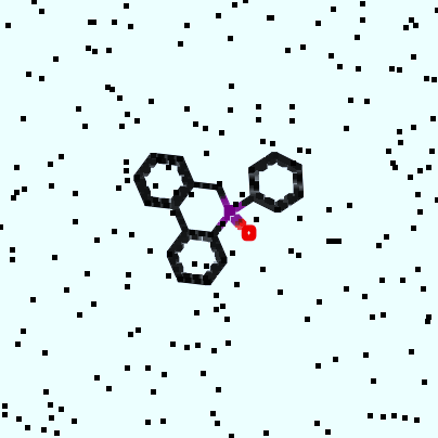 O=P1(c2ccccc2)Cc2ccccc2-c2ccccc21